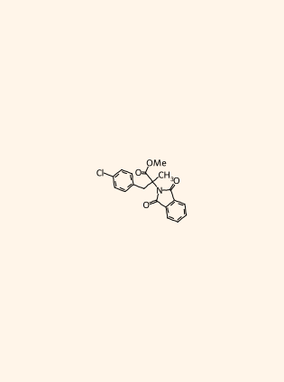 COC(=O)C(C)(Cc1ccc(Cl)cc1)N1C(=O)c2ccccc2C1=O